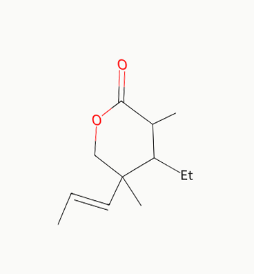 CC=CC1(C)COC(=O)C(C)C1CC